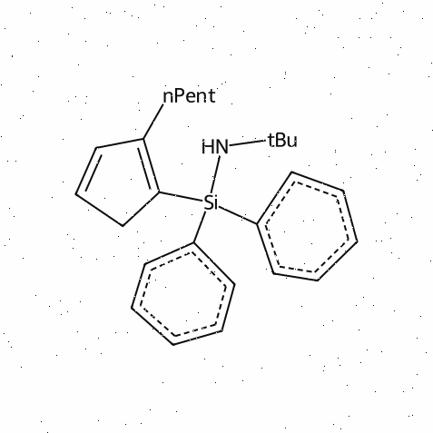 CCCCCC1=C([Si](NC(C)(C)C)(c2ccccc2)c2ccccc2)CC=C1